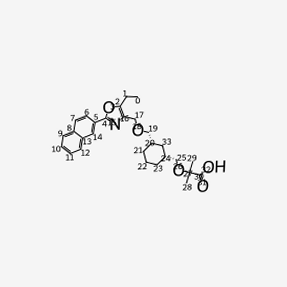 CCc1oc(-c2ccc3ccccc3c2)nc1COC[C@H]1CCC[C@@H](COC(C)(C)C(=O)O)C1